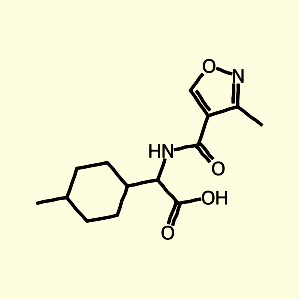 Cc1nocc1C(=O)NC(C(=O)O)C1CCC(C)CC1